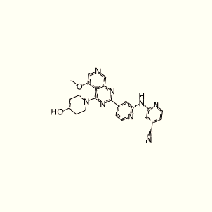 COc1cncc2nc(-c3ccnc(Nc4cc(C#N)ccn4)c3)nc(N3CCC(O)CC3)c12